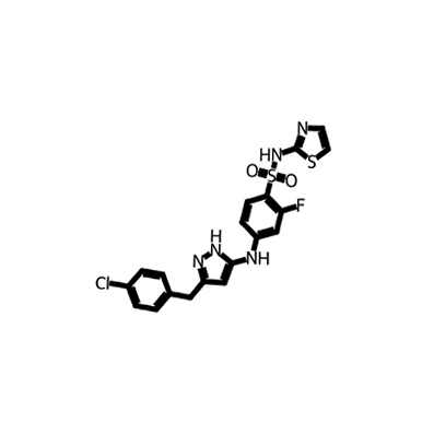 O=S(=O)(Nc1nccs1)c1ccc(Nc2cc(Cc3ccc(Cl)cc3)n[nH]2)cc1F